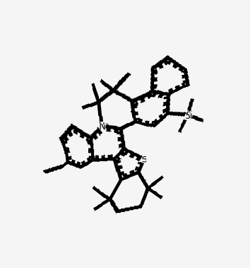 Cc1ccc2c(c1)c1c3c(sc1c1[n+]2C(C)(C)C(C)(C)c2c-1cc([Si](C)(C)C)c1ccccc21)C(C)(C)CCC3(C)C